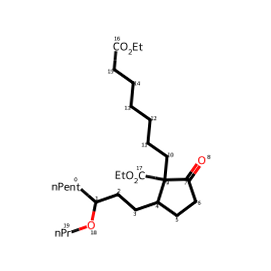 CCCCCC(CCC1CCC(=O)C1(CCCCCCC(=O)OCC)C(=O)OCC)OCCC